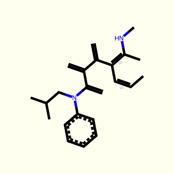 C=C(C(=C)C(/C=C\C)=C(/C)NC)C(=C)N(CC(C)C)c1ccccc1